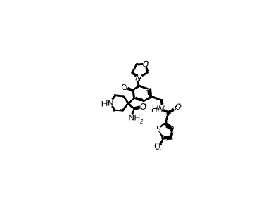 NC(=O)C1(C2=CC(CNC(=O)c3ccc(Cl)s3)=CC(N3CCOC3)C2=O)CCNCC1